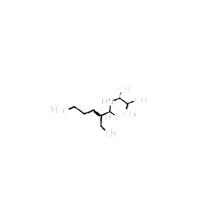 CCC/C=C(\CC)C(C)N[C@@H](C)C(C)C